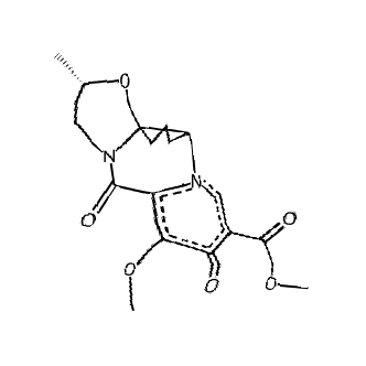 COC(=O)c1cn2c(c(OC)c1=O)C(=O)N1C[C@H](C)OC13CCCC23